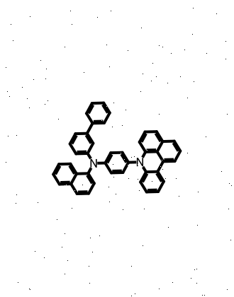 c1ccc(-c2cccc(N(c3ccc(N4c5ccccc5-c5cccc6cccc4c56)cc3)c3cccc4ccccc34)c2)cc1